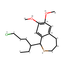 CCC(CCCCl)C1SCCCc2cc(OC)c(OC)cc21